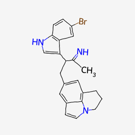 CC(=N)C(Cc1cc2c3c(ccn3CCC2)c1)c1c[nH]c2ccc(Br)cc12